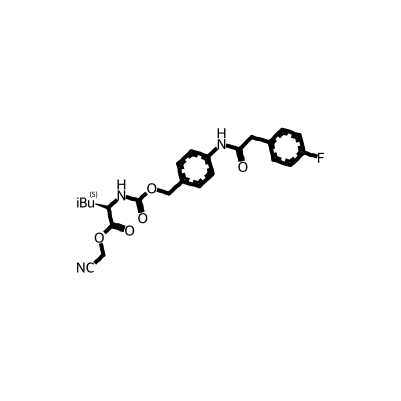 CC[C@H](C)C(NC(=O)OCc1ccc(NC(=O)Cc2ccc(F)cc2)cc1)C(=O)OCC#N